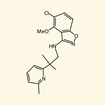 COc1c(Cl)ccc2onc(NCC(C)(C)c3cccc(C)n3)c12